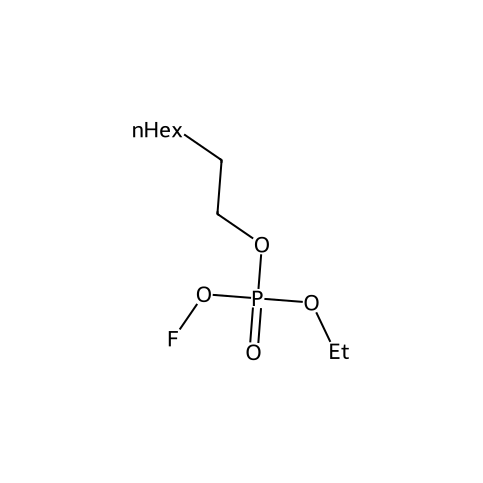 CCCCCCCCOP(=O)(OF)OCC